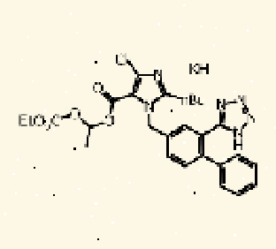 CCCCc1nc(Cl)c(C(=O)OC(C)OC(=O)OCC)n1Cc1ccc(-c2ccccc2)c(-c2nnn[nH]2)c1.[KH]